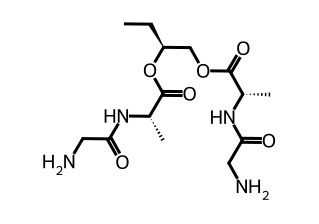 CC[C@@H](COC(=O)[C@H](C)NC(=O)CN)OC(=O)[C@H](C)NC(=O)CN